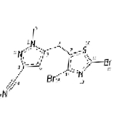 Cn1nc(C#N)cc1Cc1sc(Br)nc1Br